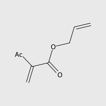 C=CCOC(=O)C(=C)C(C)=O